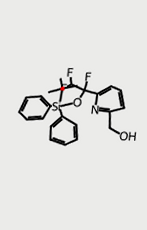 CC(C)(C)[Si](OC(F)(c1cccc(CO)n1)C(F)F)(c1ccccc1)c1ccccc1